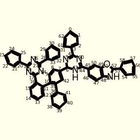 c1ccc(C2=NC(c3ccc(-c4ccccc4-c4nc(-c5ccccc5)nc(-c5ccccc5)n4)c(-c4ccccc4)c3)NC(c3ccc4c(c3)OC(c3ccccc3)N4)=N2)cc1